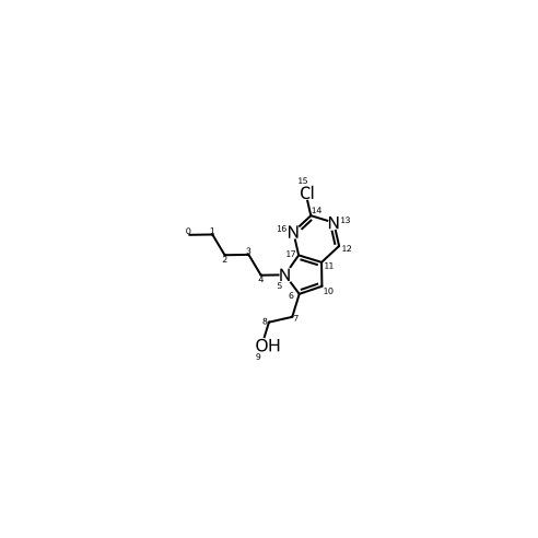 CCCCCn1c(CCO)cc2cnc(Cl)nc21